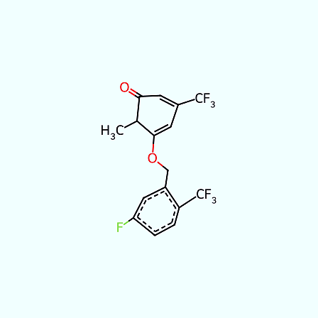 CC1C(=O)C=C(C(F)(F)F)C=C1OCc1cc(F)ccc1C(F)(F)F